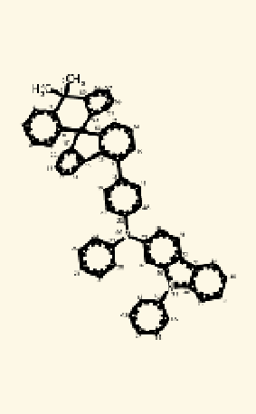 CC1(C)c2ccccc2C2(c3ccccc3-c3c(-c4ccc(N(c5ccccc5)c5ccc6c7ccccc7n(-c7ccccc7)c6c5)cc4)cccc32)c2ccccc21